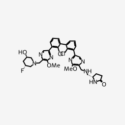 COc1nc(-c2cccc(-c3cccc(-c4cnc(CN5C[C@H](O)C[C@@H](F)C5)c(OC)n4)c3Cl)c2Cl)cnc1CNC[C@@H]1CCC(=O)N1